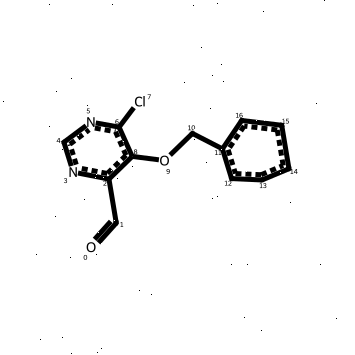 O=Cc1ncnc(Cl)c1OCc1ccccc1